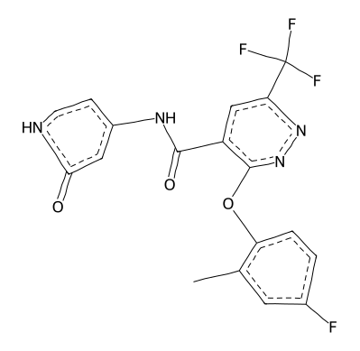 Cc1cc(F)ccc1Oc1nnc(C(F)(F)F)cc1C(=O)Nc1cc[nH]c(=O)c1